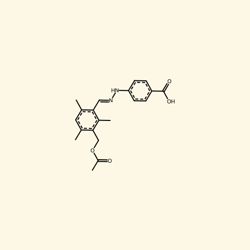 CC(=O)OCc1c(C)cc(C)c(/C=N/Nc2ccc(C(=O)O)cc2)c1C